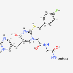 CCCCCCNC(=O)CNC(=O)Cn1cc(Cc2cncnc2)c(=O)nc1SCc1ccc(F)cc1